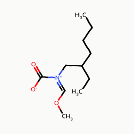 CCCCC(CC)C[N+](=COC)C(=O)[O-]